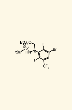 CCOC(=O)C[C@H](N[S@+]([O-])C(C)(C)C)c1c(F)c(Br)cc(C(F)(F)F)c1F